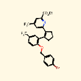 CCOC(=O)c1cc(C(F)(F)F)cc(C2=C(c3cc(C(F)(F)F)ccc3OCc3ccc(Br)cc3)CCC2)n1